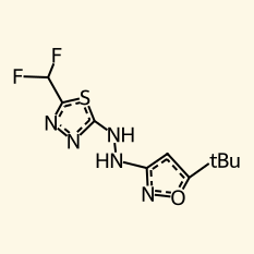 CC(C)(C)c1cc(NNc2nnc(C(F)F)s2)no1